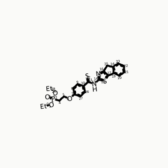 CCOP(=O)(CCOc1ccc(C(=S)Nc2nc3c(s2)-c2ccccc2C3)cc1)OCC